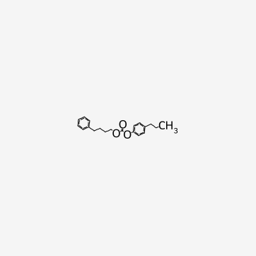 CCCc1ccc(OC(=O)OCCCCc2ccccc2)cc1